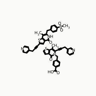 Cc1c(C#CCc2cccnc2)n(Cc2ccc(C(=O)O)cc2)c(=O)c2ccsc12.Cc1c(Cc2ccc(S(C)(=O)=O)cc2)[nH]c(=O)c2cc(C#CCc3ccncc3)sc12